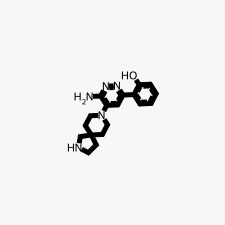 Nc1nnc(-c2ccccc2O)cc1N1CCC2(CCNC2)CC1